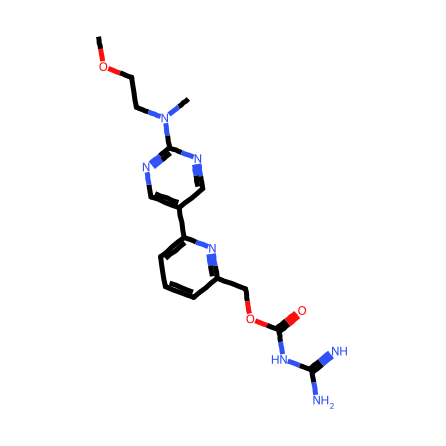 COCCN(C)c1ncc(-c2cccc(COC(=O)NC(=N)N)n2)cn1